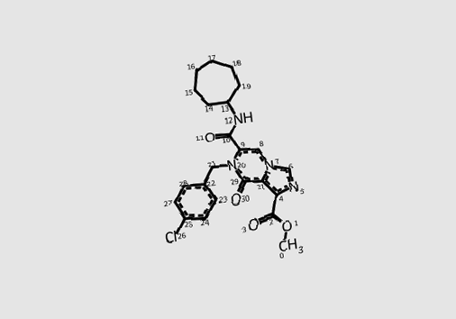 COC(=O)c1ncn2cc(C(=O)NC3CCCCCC3)n(Cc3ccc(Cl)cc3)c(=O)c12